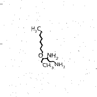 CCCCCCCCOC(CC)C(N)CCN